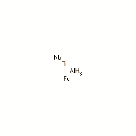 [AlH3].[Fe].[Nb].[Ti]